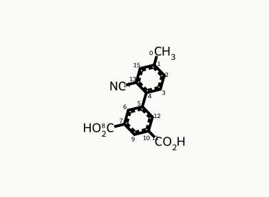 Cc1ccc(-c2cc(C(=O)O)cc(C(=O)O)c2)c(C#N)c1